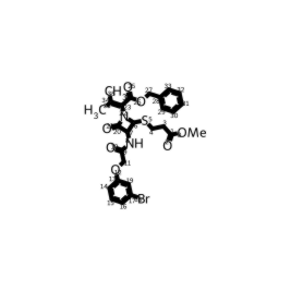 COC(=O)CCSC1C(NC(=O)COc2cccc(Br)c2)C(=O)N1C(C(=O)OCc1ccccc1)=C(C)C